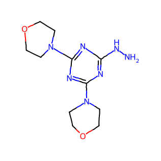 NNc1nc(N2CCOCC2)nc(N2CCOCC2)n1